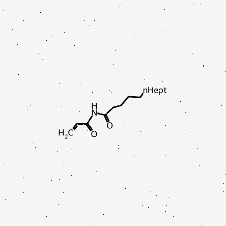 C=CC(=O)NC(=O)CCCCCCCCCCC